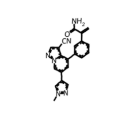 C=C(C(N)=O)c1cccc(-c2cc(-c3cnn(C)c3)cn3ncc(C#N)c23)c1